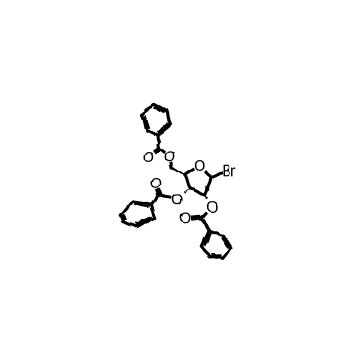 O=C(OC[C@H]1OC(Br)[C@H](OC(=O)c2ccccc2)[C@@H]1OC(=O)c1ccccc1)c1ccccc1